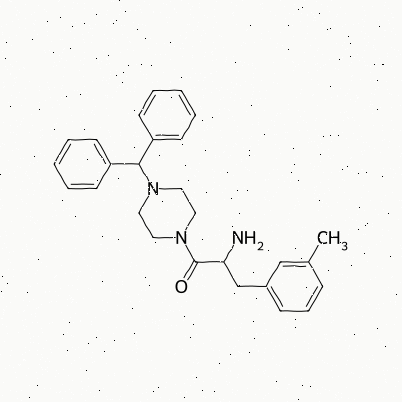 Cc1cccc(CC(N)C(=O)N2CCN(C(c3ccccc3)c3ccccc3)CC2)c1